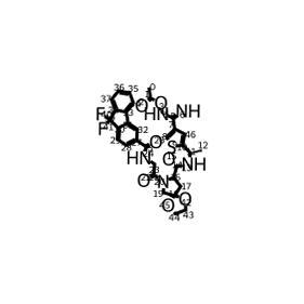 CC(=O)ONC(=N)c1csc([C@@H](C)NC(=O)C2CC3(CN2C(=O)CNC(=O)c2ccc4c(c2)-c2ccccc2C4(F)F)OCCO3)c1